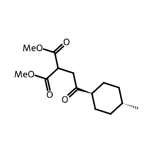 COC(=O)C(CC(=O)[C@H]1CC[C@H](C)CC1)C(=O)OC